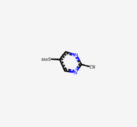 CSc1cnc(C#N)nc1